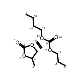 C=C.CC1COC(=O)O1.CCCCOC(=O)OCCC